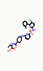 CCC(NC(=O)C1CCC(Nc2cccc(S(=O)(=O)Nc3ccc(Cl)c(-c4ccccc4C)n3)n2)CC1)C(=O)O